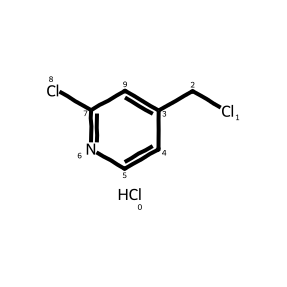 Cl.ClCc1ccnc(Cl)c1